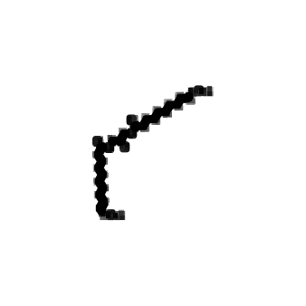 CCCCCCCCC=CCCCCCCCC(=O)OCC(=O)COC(=O)CCCCCCCC=CCCCCCCCC